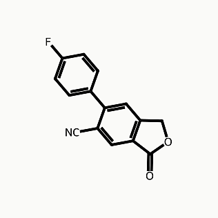 N#Cc1cc2c(cc1-c1ccc(F)cc1)COC2=O